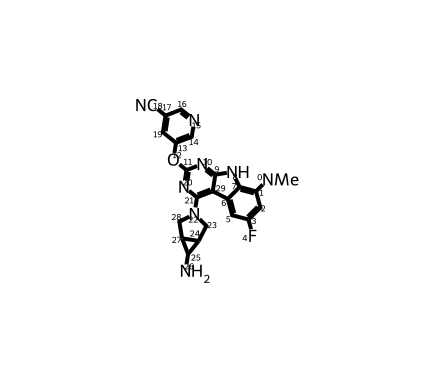 CNc1cc(F)cc2c1[nH]c1nc(Oc3cncc(C#N)c3)nc(N3CC4C(N)C4C3)c12